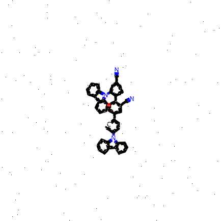 N#Cc1ccc(-c2ccc(-c3ccc(-n4c5ccccc5c5ccccc54)cc3)cc2C#N)c(-n2c3ccccc3c3ccccc32)c1